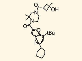 CC(C)(C)c1cc(C2CCCCC2)nc2cc(C(=O)N3CCN(C(=O)[C@H]4C[C@@](C)(O)C4)CC3(C)C)oc12